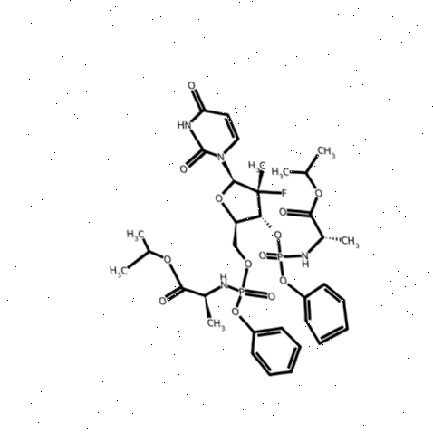 CC(C)OC(=O)[C@H](C)NP(=O)(OC[C@H]1O[C@@H](n2ccc(=O)[nH]c2=O)[C@](C)(F)[C@@H]1OP(=O)(N[C@@H](C)C(=O)OC(C)C)Oc1ccccc1)Oc1ccccc1